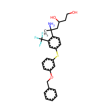 CC(N)(CC(O)CCO)c1ccc(Sc2cccc(OCc3ccccc3)c2)cc1C(F)(F)F